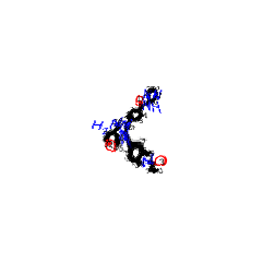 C=CC(=O)N1CC2CC(N3CN(c4ccc(C(=O)Nc5cnccn5)cc4)C(N)=C4C=COC=C43)CC2C1